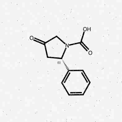 O=C1C[C@@H](c2ccccc2)N(C(=O)O)C1